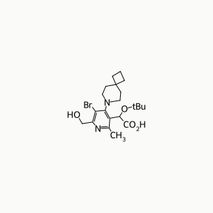 Cc1nc(CO)c(Br)c(N2CCC3(CCC3)CC2)c1C(OC(C)(C)C)C(=O)O